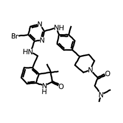 Cc1cc(C2CCN(C(=O)CN(C)C)CC2)ccc1Nc1ncc(Br)c(NCc2cccc3c2C(C)(C)C(=O)N3)n1